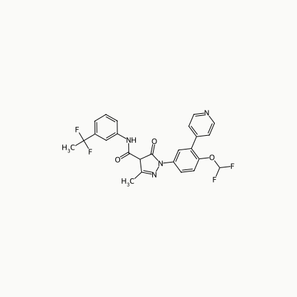 CC1=NN(c2ccc(OC(F)F)c(-c3ccncc3)c2)C(=O)C1C(=O)Nc1cccc(C(C)(F)F)c1